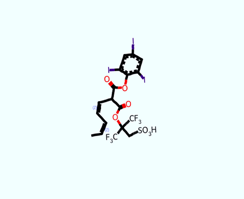 C/C=C\C=C/C(C(=O)Oc1c(I)cc(I)cc1I)C(=O)OC(CS(=O)(=O)O)(C(F)(F)F)C(F)(F)F